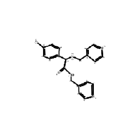 O=C(NCc1ccncc1)C(NCc1ccncc1)c1ccc(Cl)cc1